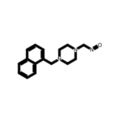 O=NCN1CCN(Cc2cccc3ccccc23)CC1